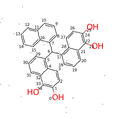 Oc1ccc2c(C(c3cccc4ccccc34)c3cccc4c(O)c(O)ccc34)cccc2c1O